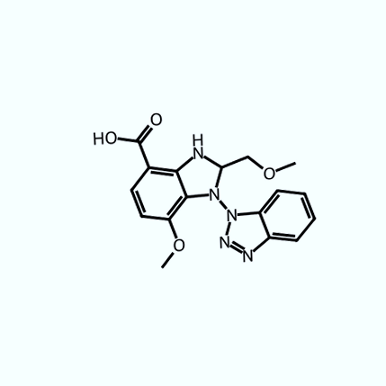 COCC1Nc2c(C(=O)O)ccc(OC)c2N1n1nnc2ccccc21